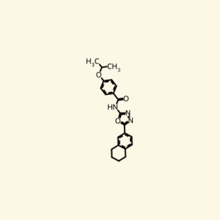 CC(C)Oc1ccc(C(=O)Nc2nnc(-c3ccc4c(c3)CCCC4)o2)cc1